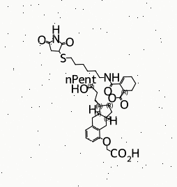 CCCCC[C@H](O)CC[C@@H]1[C@H]2Cc3cccc(OCC(=O)O)c3C[C@H]2C[C@H]1OC(=O)[C@@H]1CCCC=C1C(=O)NCCCCCCSC1CC(=O)NC1=O